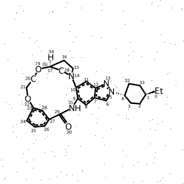 CC[C@H]1CC[C@H](n2cc3cc4c(cc3n2)N2CC[C@@H](C2)OCCOc2cccc(c2)C(=O)N4)CC1